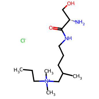 CCC[N+](C)(C)CC(C)CCCNC(=O)[C@@H](N)CO.[Cl-]